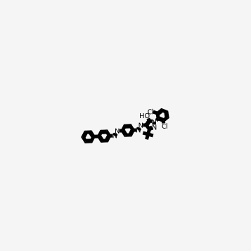 CC(C)(C)c1nn(-c2c(Cl)cccc2Cl)c(O)c1/N=N/c1ccc(/N=N/c2ccc(-c3ccccc3)cc2)cc1